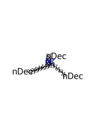 CCCCCCCCCCCCCCCCCCCc1cc(CCCCCCCCCCCCCCCCCCC)c[n+](CCCCCCCCCCCC)c1